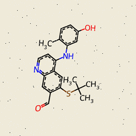 Cc1ccc(O)cc1Nc1ccnc2cc(C=O)c(SC(C)(C)C)cc12